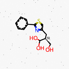 OC[C@H](Cc1csc(-c2ccccc2)n1)C(O)O